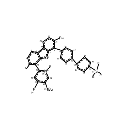 Cc1ccc2c(oc3c(-c4ccc(-c5ccc([Si](C)(C)C)cc5)cc4)c(F)ccc32)c1-c1cc(F)c(C(C)(C)C)c[n+]1C